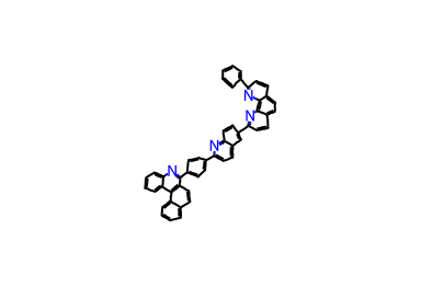 c1ccc(-c2ccc3ccc4ccc(-c5ccc6nc(-c7ccc(-c8nc9ccccc9c9c8ccc8ccccc89)cc7)ccc6c5)nc4c3n2)cc1